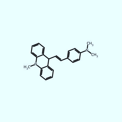 CN(C)c1ccc(C=CC2c3ccccc3N(C)c3ccccc32)cc1